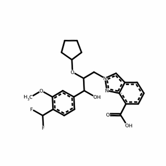 COc1cc(C(O)C(Cn2cc3cccc(C(=O)O)c3n2)OC2CCCC2)ccc1C(F)F